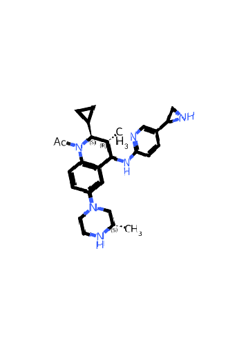 CC(=O)N1c2ccc(N3CCN[C@@H](C)C3)cc2C(Nc2ccc(C3CN3)cn2)[C@@H](C)[C@@H]1C1CC1